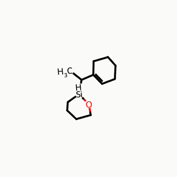 CC(C1=CCCCC1)[SiH]1CCCCO1